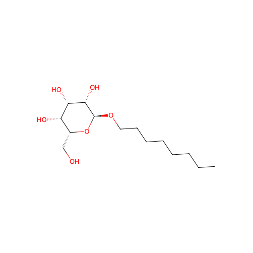 CCCCCCCCO[C@H]1O[C@H](CO)[C@H](O)[C@H](O)[C@@H]1O